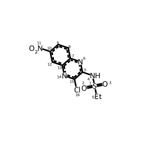 CCS(=O)(=O)Nc1nc2ccc([N+](=O)[O-])cc2nc1Cl